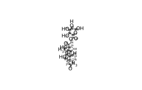 C[C@]12CCC(=O)C=C1CC[C@@H]1[C@@H]2[C@@H](O)C[C@@]2(C)[C@H]1CC[C@]2(O)C(=O)COC(=O)[C@H]1O[C@@H](O)[C@H](O)[C@@H](O)[C@@H]1O